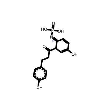 O=C(CCc1ccc(O)cc1)C1C=C(O)C=C/C1=N\P(=O)(O)O